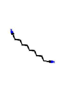 N#C[CH]CCCCCCCCC#N